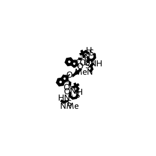 CNCC(=S)N[C@H]1CCS[C@H]2CC(C)(C)[C@@H](C(=O)C[C@H]3c4ccccc4C[C@H]3OCC#CCO[C@@H]3Cc4ccccc4[C@@H]3CC(=O)[C@H]3N4C(=O)[C@@H](NC(=S)[C@H](C)NC)CCS[C@H]4CC3(C)C)N2C1=O